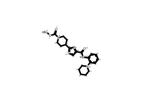 CCCCOC(=O)N1CCC(c2nc(C(=O)Nc3ccccc3N3CCCCC3)cs2)CC1